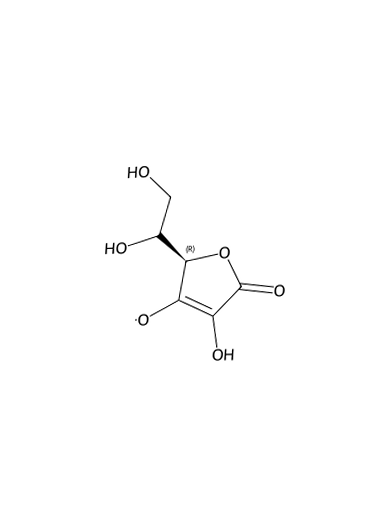 [O]C1=C(O)C(=O)O[C@@H]1C(O)CO